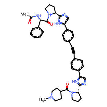 COC(=O)N[C@@H](C(=O)N1CCC[C@H]1c1ncc(-c2ccc(C#Cc3ccc(-c4cnc([C@@H]5CCCN5C(=O)C5CCN(C)CC5)[nH]4)cc3)cc2)[nH]1)c1ccccc1